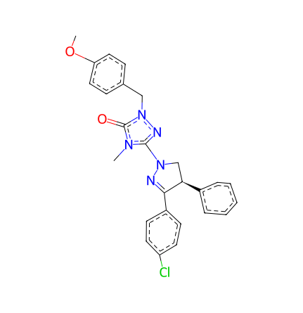 COc1ccc(Cn2nc(N3C[C@@H](c4ccccc4)C(c4ccc(Cl)cc4)=N3)n(C)c2=O)cc1